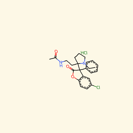 CCN1CCCC1(CCNC(C)=O)C1(c2ccccc2)C(=O)Oc2ccc(Cl)cc21.Cl